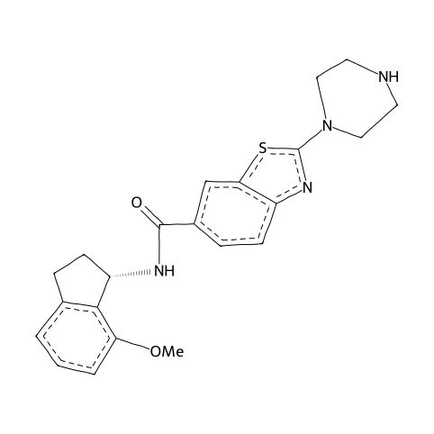 COc1cccc2c1[C@@H](NC(=O)c1ccc3nc(N4CCNCC4)sc3c1)CC2